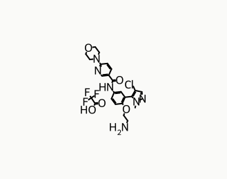 Cn1ncc(Cl)c1-c1cc(NC(=O)c2ccc(N3CCOCC3)nc2)ccc1OCCN.O=C(O)C(F)(F)F